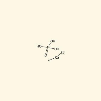 C[CH2][Ca][CH3].O=P(O)(O)O